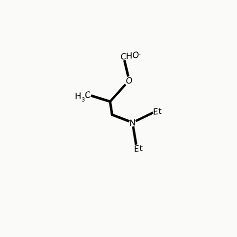 CCN(CC)CC(C)O[C]=O